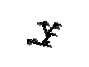 COc1cc(/C=C/c2cc(OCOCC[Si](C)(C)C)cc(C)c2Br)cc(OCOCC[Si](C)(C)C)c1OCOCC[Si](C)(C)C